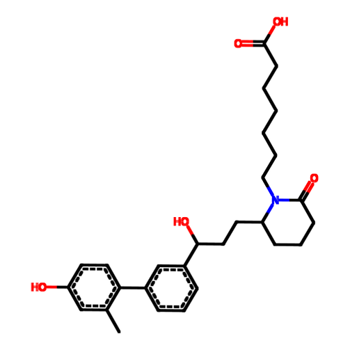 Cc1cc(O)ccc1-c1cccc(C(O)CCC2CCCC(=O)N2CCCCCCC(=O)O)c1